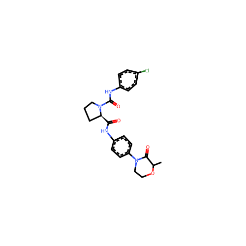 CC1OCCN(c2ccc(NC(=O)[C@H]3CCCN3C(=O)Nc3ccc(Cl)cc3)cc2)C1=O